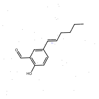 CCCC/C=C/c1ccc(O)c(C=O)c1